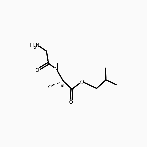 CC(C)COC(=O)[C@H](C)NC(=O)CN